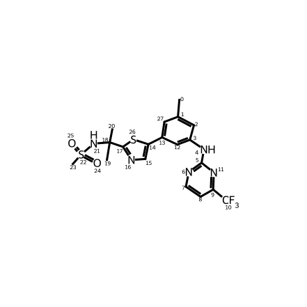 Cc1cc(Nc2nccc(C(F)(F)F)n2)cc(-c2cnc(C(C)(C)NS(C)(=O)=O)s2)c1